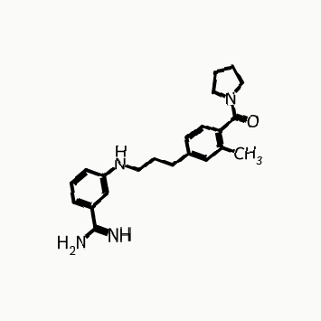 Cc1cc(CCCNc2cccc(C(=N)N)c2)ccc1C(=O)N1CCCC1